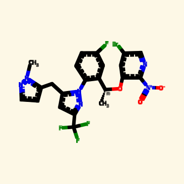 C[C@@H](Oc1cc(Br)cnc1[N+](=O)[O-])c1cc(F)ccc1-n1nc(C(F)(F)F)cc1Cc1ccnn1C